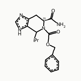 CC(C)C1c2[nH]cnc2C[C@@H](C(N)=O)N1C(=O)OCc1ccccc1